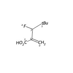 C=C(C(=O)O)C(F)C(C)(C)C